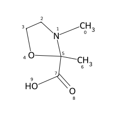 CN1CCOC1(C)C(=O)O